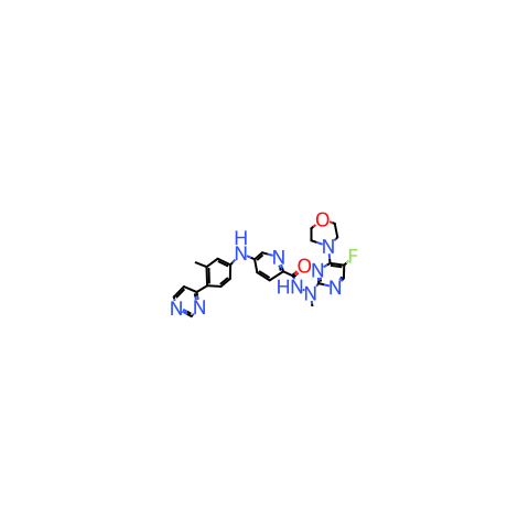 Cc1cc(Nc2ccc(C(=O)NN(C)c3ncc(F)c(N4CCOCC4)n3)nc2)ccc1-c1ccncn1